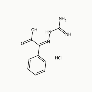 Cl.N=C(N)N/N=C(\C(=O)O)c1ccccc1